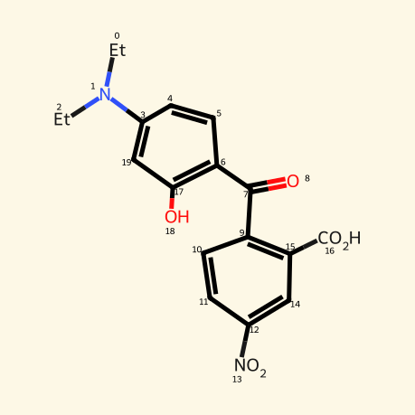 CCN(CC)c1ccc(C(=O)c2ccc([N+](=O)[O-])cc2C(=O)O)c(O)c1